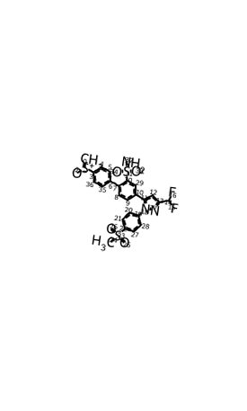 C[S+]([O-])c1ccc(-c2ccc(-c3cc(C(F)F)nn3-c3ccc(S(C)(=O)=O)cc3)cc2S(N)(=O)=O)cc1